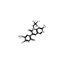 Nc1cc(-c2cc3cnc(Cl)cc3n(CC(F)(F)F)c2=O)c(Br)cc1F